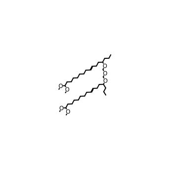 CCCC(CCC=CCCCCCCCC(OC)OC)OCOCOC(CCC)CCC=CCCCCCCCC(OC)OC